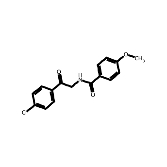 COc1ccc(C(=O)NCC(=O)c2ccc(Cl)cc2)cc1